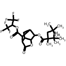 CC(C)(C)CC(C)(C(=O)OC1C2CC3C1OC(=O)C3C2C(=O)OC(C(F)(F)F)C(F)(F)F)C(C)(C)C